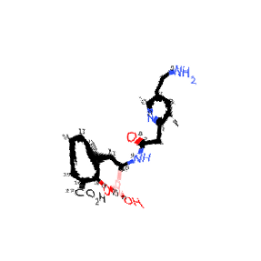 NCc1ccc(CC(=O)NC2Cc3cccc(C(=O)O)c3OB2O)nc1